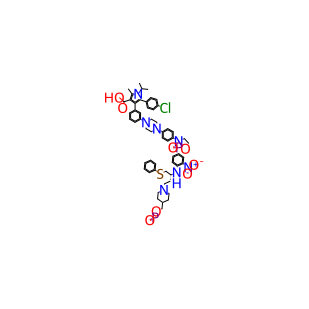 Cc1c(C(=O)O)c(-c2cccc(N3CCN(c4ccc(N5CCO[P@@]5(=O)c5ccc(N[C@H](CCN6CCC(COP=O)CC6)CSc6ccccc6)c([N+](=O)[O-])c5)cc4)CC3)c2)c(-c2ccc(Cl)cc2)n1C(C)C